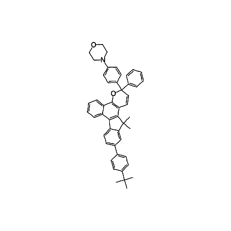 CC(C)(C)c1ccc(-c2ccc3c(c2)C(C)(C)c2c4c(c5ccccc5c2-3)OC(c2ccccc2)(c2ccc(N3CCOCC3)cc2)C=C4)cc1